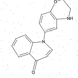 O=c1ccn(-c2ccc3c(c2)NCCO3)c2ccccc12